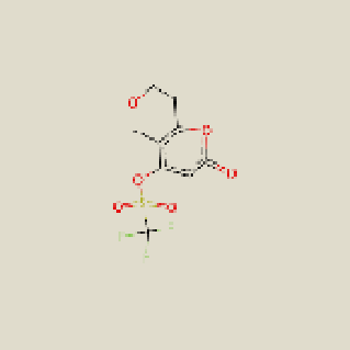 O=c1cc(OS(=O)(=O)C(F)(F)F)c2c(o1)CCOC2